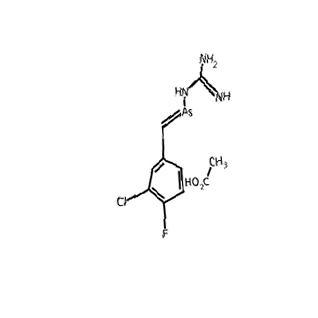 CC(=O)O.N=C(N)N/[As]=C/c1ccc(F)c(Cl)c1